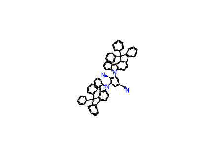 N#Cc1cc(-n2c3ccccc3c3c4c(ccc32)-c2ccccc2C4(c2ccccc2)c2ccccc2)c(C#N)c(-n2c3ccccc3c3c4c(ccc32)-c2ccccc2C4(c2ccccc2)c2ccccc2)c1